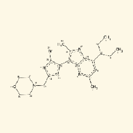 CCC(CC)c1cc(C)nc2c(-c3sc(CN4CCOCC4)nc3Br)c(C)nn12